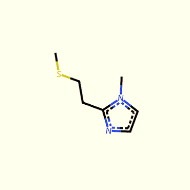 CSCCc1nccn1C